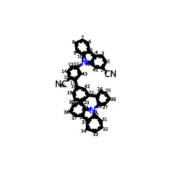 N#Cc1ccc2c3ccccc3n(-c3ccc(C#N)c(-c4cccc(-c5ccccc5-n5c6ccccc6c6ccccc65)c4)c3)c2c1